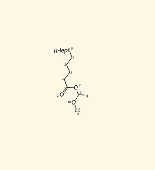 CCCCCCCCCCCC(=O)OC(C)OCC